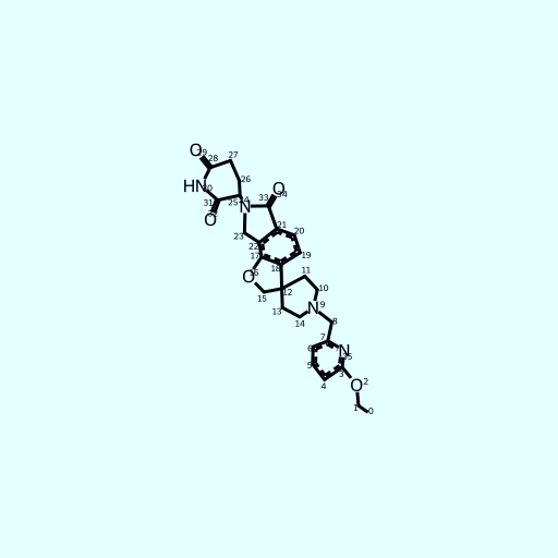 CCOc1cccc(CN2CCC3(CC2)COc2c3ccc3c2CN(C2CCC(=O)NC2=O)C3=O)n1